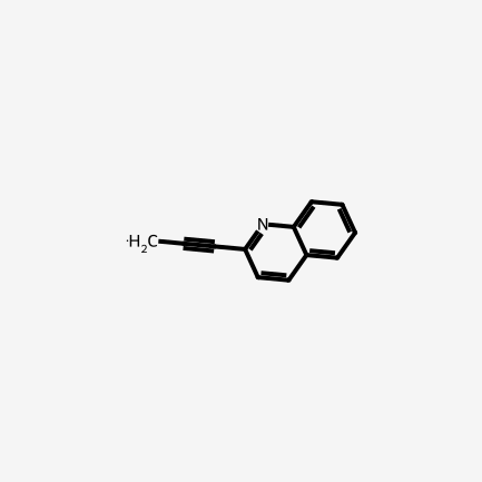 [CH2]C#Cc1ccc2ccccc2n1